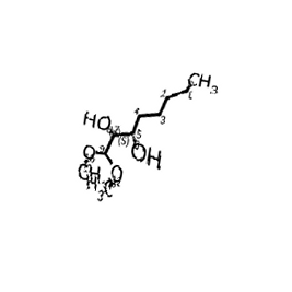 CCCCC[C@H](O)[C@H](O)C(OC)OC